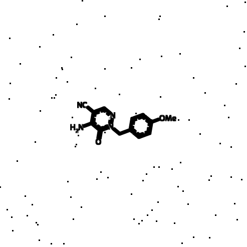 COc1ccc(Cn2ncc(C#N)c(N)c2=O)cc1